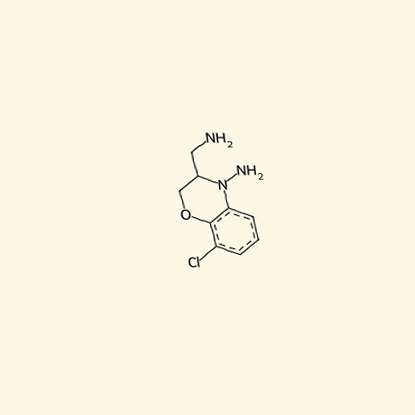 NCC1COc2c(Cl)cccc2N1N